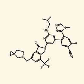 CC(C)CNc1cc(-c2cc(C#N)c(F)cc2-c2nncn2C)cc(N2Cc3c(cc(CN4CCC5(CC5)C4)cc3C(F)(F)F)C2=O)n1